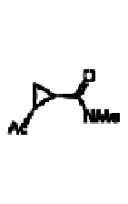 CNC(=O)[C@@H]1C[C@@H]1C(C)=O